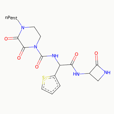 CCCCCN1CCN(C(=O)NC(C(=O)NC2CNC2=O)c2cccs2)C(=O)C1=O